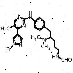 Cc1cnc(Nc2ccc(CC(CCCNC=O)N(C)C)cc2)nc1-c1cnn(C(C)C)c1